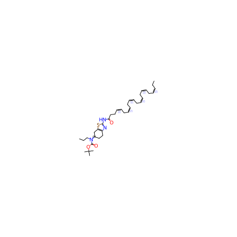 CC/C=C\C/C=C\C/C=C\C/C=C\C/C=C\C/C=C\CCC(=O)Nc1nc2c(s1)C[C@H](N(CCC)C(=O)OC(C)(C)C)CC2